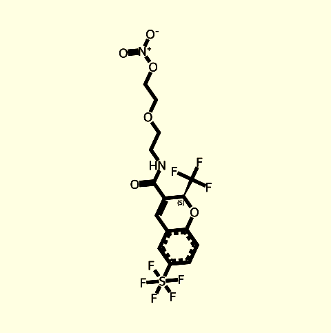 O=C(NCCOCCO[N+](=O)[O-])C1=Cc2cc(S(F)(F)(F)(F)F)ccc2O[C@@H]1C(F)(F)F